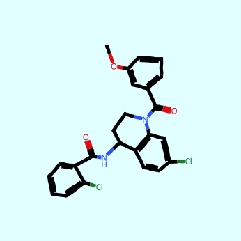 COc1cccc(C(=O)N2CCC(NC(=O)c3ccccc3Cl)c3ccc(Cl)cc32)c1